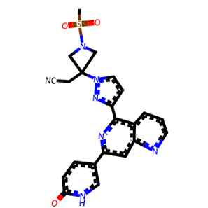 CS(=O)(=O)N1CC(CC#N)(n2ccc(-c3nc(-c4ccc(=O)[nH]c4)cc4ncccc34)n2)C1